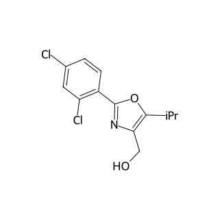 CC(C)c1oc(-c2ccc(Cl)cc2Cl)nc1CO